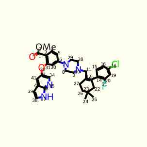 COC(=O)c1ccc(N2CCN(CC3=C(c4ccc(Cl)cc4F)CC(C)(C)CC3)CC2)cc1Oc1cnc2[nH]ccc2c1